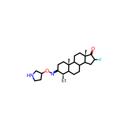 CC[C@H]1C(=NOC2CCNC2)CC[C@]2(C)C3CC[C@]4(C)C(=O)C(F)CC4C3CCC12